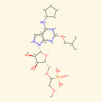 COCC(OC[C@H]1O[C@@H](n2ncc3c(NC4CCCC4)nc(OCC(C)C)nc32)[C@H](O)[C@@H]1O)P(=O)(O)O